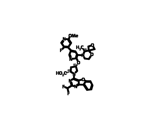 COc1cc(-c2cnc(O[C@H]3C[C@@H](C(=O)O)N(c4nc(C(F)F)nc5c4oc4ccccc45)C3)c(N3CCOC4(COC4)[C@@H]3C)c2)c(F)cn1